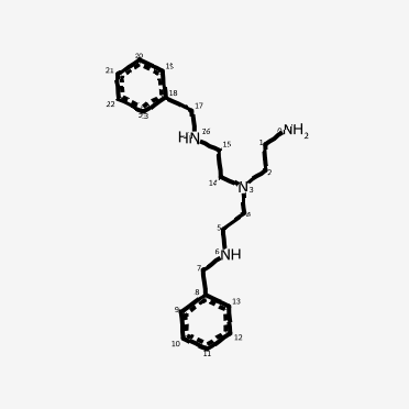 NCCN(CCNCc1ccccc1)CCNCc1ccccc1